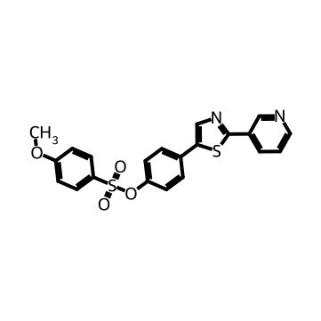 COc1ccc(S(=O)(=O)Oc2ccc(-c3cnc(-c4cccnc4)s3)cc2)cc1